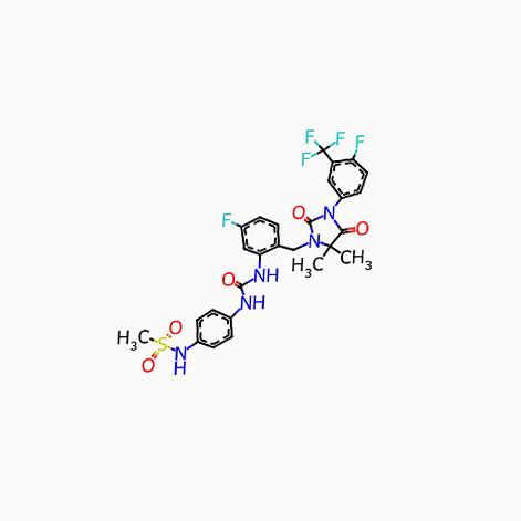 CC1(C)C(=O)N(c2ccc(F)c(C(F)(F)F)c2)C(=O)N1Cc1ccc(F)cc1NC(=O)Nc1ccc(NS(C)(=O)=O)cc1